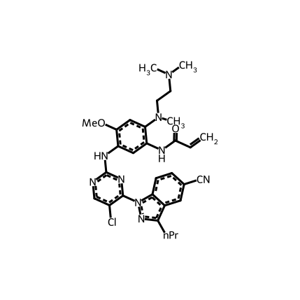 C=CC(=O)Nc1cc(Nc2ncc(Cl)c(-n3nc(CCC)c4cc(C#N)ccc43)n2)c(OC)cc1N(C)CCN(C)C